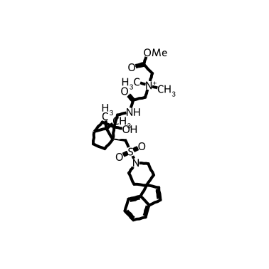 COC(=O)C[N+](C)(C)CC(=O)NCC1(O)CC2CC[C@]1(CS(=O)(=O)N1CCC3(C=Cc4ccccc43)CC1)C2(C)C